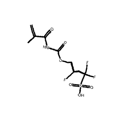 C=C(C)C(=O)NC(=O)OCC(F)C(F)(F)S(=O)(=O)O